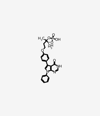 CC(C)(CCOc1ccc(-c2cn(-c3ccccc3)c3nc[nH]c(=O)c23)cc1)OP(=O)(O)O